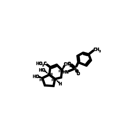 Cc1ccc(S(=O)(=O)N[C@@]2(C)C=C(C(=O)O)[C@@]3(O)[C@H](CC[C@H]3O)C2)cc1